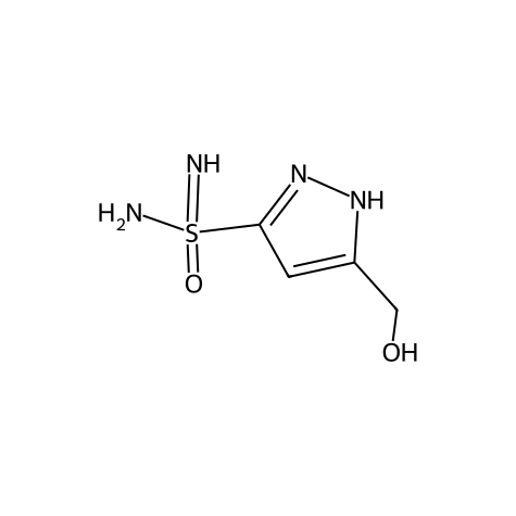 N=S(N)(=O)c1cc(CO)[nH]n1